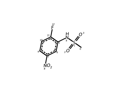 CS(=O)(=O)Nc1cc([N+](=O)[O-])ccc1F